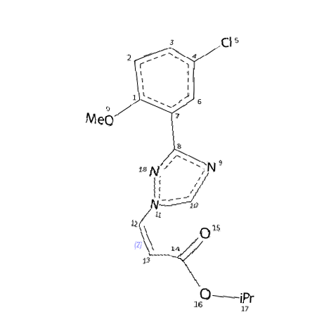 COc1ccc(Cl)cc1-c1ncn(/C=C\C(=O)OC(C)C)n1